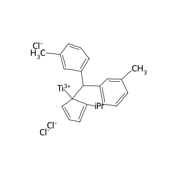 Cc1cccc(C(c2cccc(C)c2)[C]2([Ti+3])C=CC=C2C(C)C)c1.[Cl-].[Cl-].[Cl-]